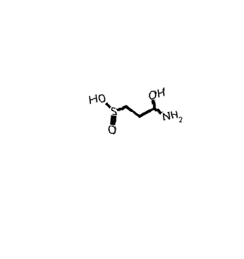 NC(O)CCS(=O)O